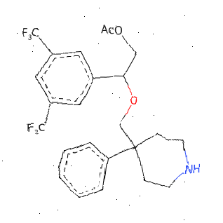 CC(=O)OCC(OCC1(c2ccccc2)CCNCC1)c1cc(C(F)(F)F)cc(C(F)(F)F)c1